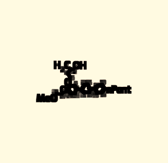 C=C(CO)CCOc1cc(-c2ccc(-c3ccc(CCCCC)cc3)cc2)ccc1OCCOC